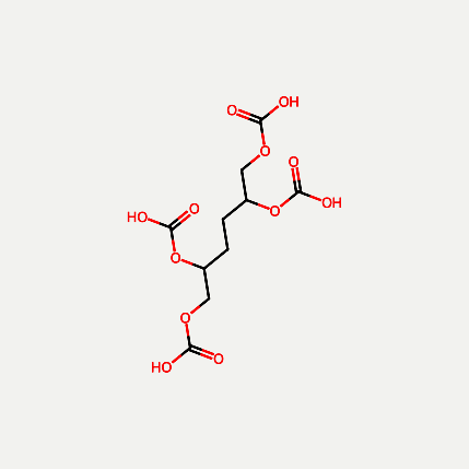 O=C(O)OCC(CCC(COC(=O)O)OC(=O)O)OC(=O)O